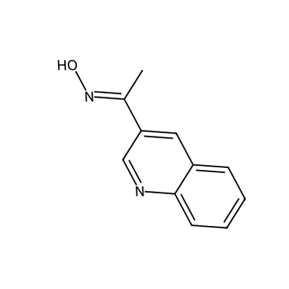 CC(=NO)c1cnc2ccccc2c1